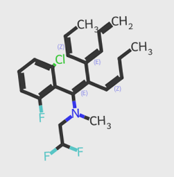 C=C/C=C(\C=C/C)C(/C=C\CC)=C(\c1c(F)cccc1Cl)N(C)CC(F)F